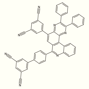 N#Cc1cc(C#N)cc(-c2ccc(-c3nc4ccccc4c4c3cc(-c3cc(C#N)cc(C#N)c3)c3nc(-c5ccccc5)c(-c5ccccc5)nc34)cc2)c1